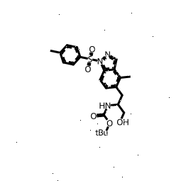 Cc1ccc(S(=O)(=O)n2ncc3c(C)c(CC(CO)NC(=O)OC(C)(C)C)ccc32)cc1